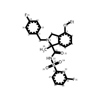 CCOc1cccc2c1CN(Cc1ccc(F)cc1)C2(C)C(=O)NS(=O)(=O)c1cccc(F)n1